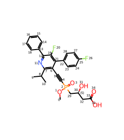 COP(=O)(C#Cc1c(C(C)C)nc(-c2ccccc2)c(F)c1-c1ccc(F)cc1)C[C@@H](O)CC(=O)O